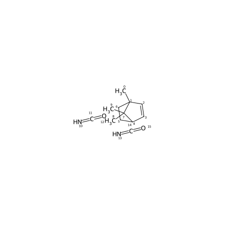 CC12C=CC(CC1)C2(C)C.N=C=O.N=C=O